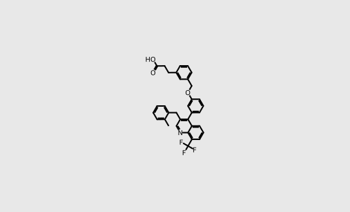 Cc1ccccc1Cc1cnc2c(C(F)(F)F)cccc2c1-c1cccc(OCc2cccc(CCC(=O)O)c2)c1